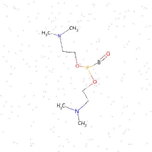 CN(C)CCOP(B=O)OCCN(C)C